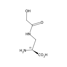 N[C@@H](CNC(=O)CO)C(=O)O